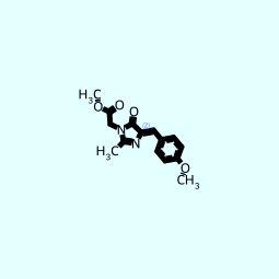 COC(=O)CN1C(=O)/C(=C/c2ccc(OC)cc2)N=C1C